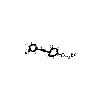 CCOC(=O)c1ccc(C#Cc2cccc(F)c2)cc1